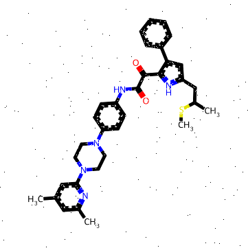 CSC(C)Cc1cc(-c2ccccc2)c(C(=O)C(=O)Nc2ccc(N3CCN(c4cc(C)cc(C)n4)CC3)cc2)[nH]1